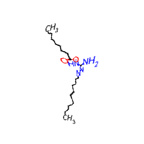 CCCCCCCCCCC=NN=C(N)NOC(=O)CCCCCCCCC